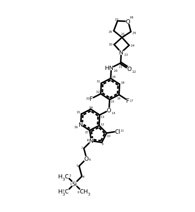 C[Si](C)(C)CCOCn1cc(Cl)c2c(Oc3c(F)cc(NC(=O)N4CC5(CCOC5)C4)cc3F)ccnc21